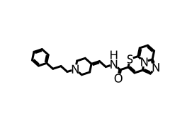 O=C(NCC=C1CCN(CCCc2ccccc2)CC1)C1=Cc2cnc3cccc(n23)S1